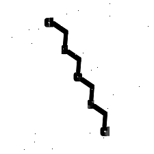 ClCSCOCSCCl